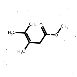 [CH2]OC(=O)CC(C)=C(C)C